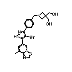 Cc1cc(-c2[nH]nc(-c3ccc(CN4CC(CO)(CO)C4)cc3)c2C(C)C)cn2ncnc12